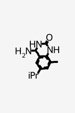 Cc1cc(C(C)C)cc2c1NC(=O)NC2N